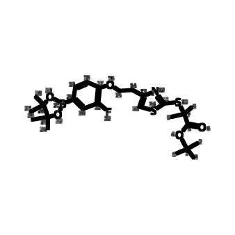 CC(C)(C)OC(=O)C(C)(C)Sc1nc(CCOc2ccc(B3OC(C)(C)C(C)(C)O3)cc2F)cs1